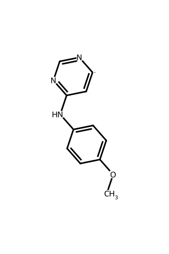 COc1ccc(Nc2c[c]ncn2)cc1